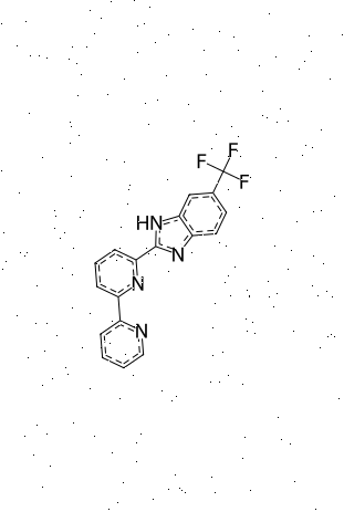 FC(F)(F)c1ccc2nc(-c3cccc(-c4ccccn4)n3)[nH]c2c1